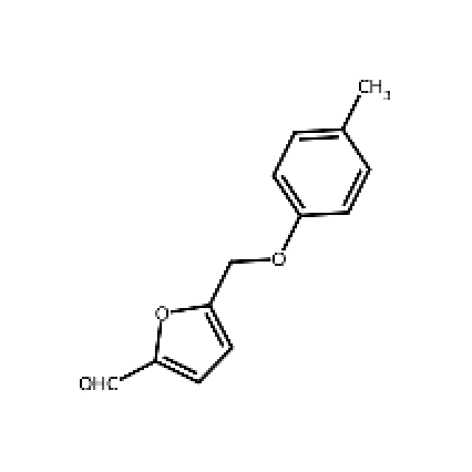 Cc1ccc(OCc2ccc(C=O)o2)cc1